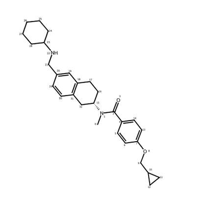 CN(C(=O)c1ccc(OCC2CC2)cc1)[C@H]1CCc2cc(CNC3CCCCC3)ccc2C1